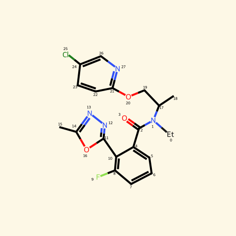 CCN(C(=O)c1cccc(F)c1-c1nnc(C)o1)C(C)COc1ccc(Cl)cn1